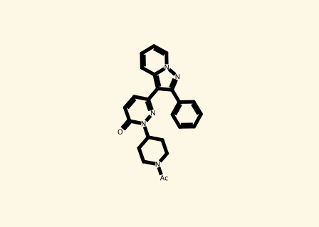 CC(=O)N1CCC(n2nc(-c3c(-c4ccccc4)nn4ccccc34)ccc2=O)CC1